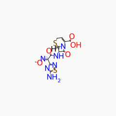 CO/N=C(/C(=O)NC1C(=O)N2C(C(=O)O)=CCS[C@H]12)c1nsc(N)n1